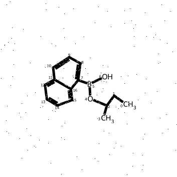 CCC(C)OB(O)c1cccc2ccccc12